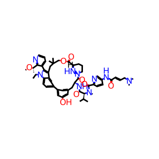 CCn1c(-c2cccnc2[C@H](C)OC)c2c3cc(ccc31)-c1cc(O)cc(c1)C[C@H](NC(=O)[C@H](C(C)C)N(C)C(=O)c1ccc(NC(=O)/C=C/CN(C)C)cn1)C(=O)N1CCC[C@H](N1)C(=O)OCC(C)(C)C2